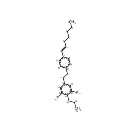 CCCCCC=Cc1ccc(CCc2cc(F)c(CCC)c(F)c2)cc1